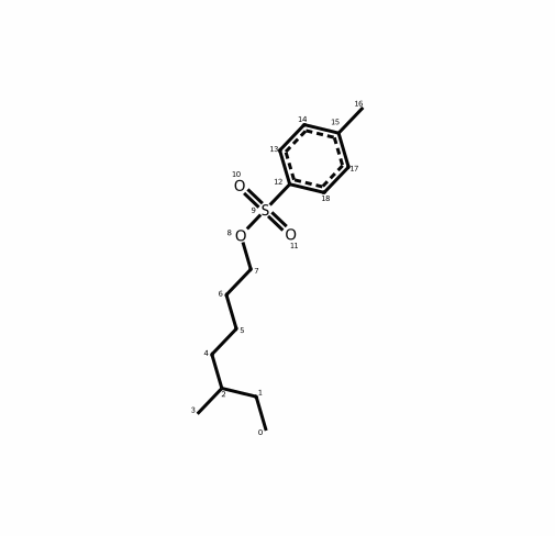 CCC(C)CCCCOS(=O)(=O)c1ccc(C)cc1